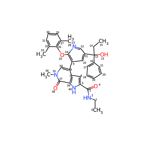 CCNC(=O)c1cc2c(-c3cc(C(O)(CC)c4ccccc4)cnc3Oc3c(C)cccc3C)cn(C)c(=O)c2[nH]1